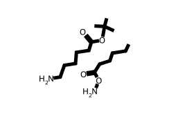 CC(C)(C)OC(=O)CCCCCN.CCCCCC(=O)ON